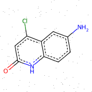 Nc1ccc2[nH]c(=O)cc(Cl)c2c1